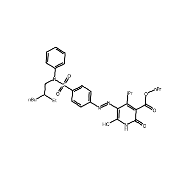 CCCCC(CC)CN(c1ccccc1)S(=O)(=O)c1ccc(/N=N/c2c(O)[nH]c(=O)c(C(=O)OCCC)c2C(C)C)cc1